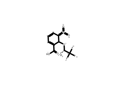 C[C@H](OC1C(C(=O)O)=CC=CC1=S(=O)=O)C(F)(F)F